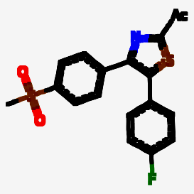 CC(=O)c1nc(-c2ccc(S(C)(=O)=O)cc2)c(-c2ccc(F)cc2)s1